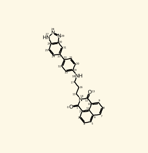 O=C1c2cccc3cccc(c23)C(=O)N1CCCNc1ccc(-c2ccc3[nH]nnc3c2)cc1